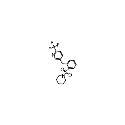 O=S(=O)(c1ccccc1Cc1ccc(C(F)(F)F)nc1)N1CCCCC1